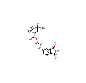 CC(CC(C)(C)I)C(=O)OCCOC1CC2CC1C1C(=O)OC(=O)C21